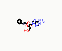 Nc1ncnc2c1ncn2C1OC(CO)C2OC(/C=C/c3ccccc3)OC21